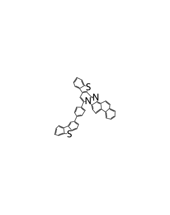 c1ccc2c(c1)ccc1c2ccc2c1nc1c3sc4ccccc4c3cc(-c3ccc(-c4ccc5sc6ccccc6c5c4)cc3)n21